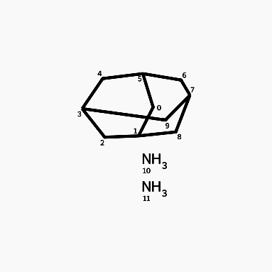 C1C2CC3CC1CC(C2)C3.N.N